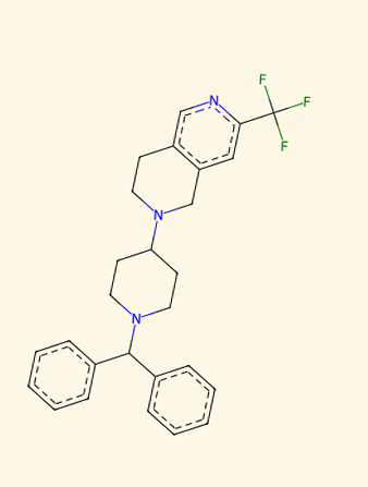 FC(F)(F)c1cc2c(cn1)CCN(C1CCN(C(c3ccccc3)c3ccccc3)CC1)C2